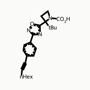 CCCCCCC#Cc1ccc(-c2noc(C3(C(C)(C)C)CCN3C(=O)O)n2)cc1